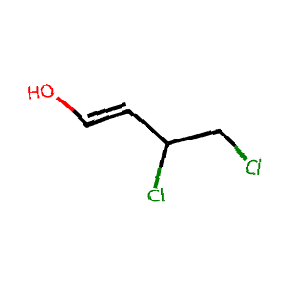 OC=CC(Cl)CCl